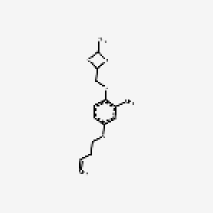 C=CCCSc1ccc(OCC2OC(C)O2)c(C)c1